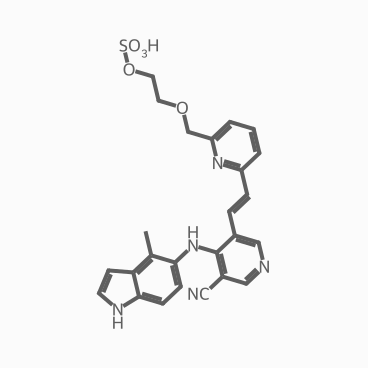 Cc1c(Nc2c(C#N)cncc2/C=C/c2cccc(COCCOS(=O)(=O)O)n2)ccc2[nH]ccc12